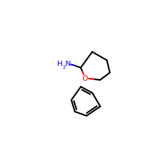 NC1CCCCO1.c1ccccc1